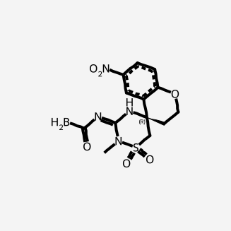 BC(=O)N=C1N[C@@]2(CCOc3ccc([N+](=O)[O-])cc32)CS(=O)(=O)N1C